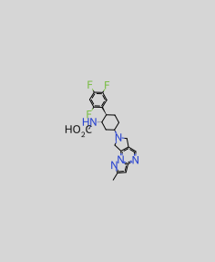 Cc1cc2ncc3c(n2n1)CN([C@@H]1CC[C@H](c2cc(F)c(F)cc2F)[C@@H](NC(=O)O)C1)C3